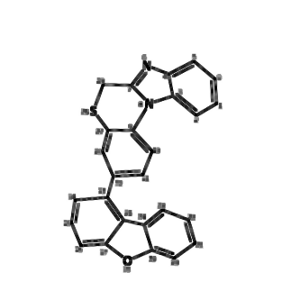 c1ccc2c(c1)nc1n2-c2ccc(-c3cccc4oc5ccccc5c34)cc2SC1